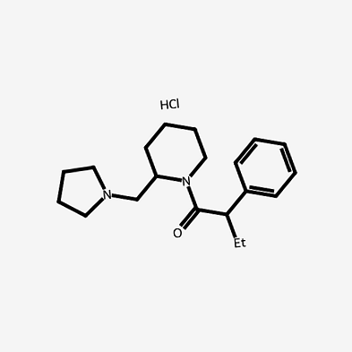 CCC(C(=O)N1CCCCC1CN1CCCC1)c1ccccc1.Cl